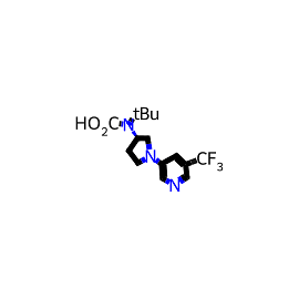 CC(C)(C)N(C(=O)O)[C@@H]1CCN(c2cncc(C(F)(F)F)c2)C1